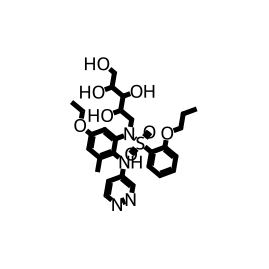 CCCOc1ccccc1S(=O)(=O)N(CC(O)C(O)C(O)CO)c1cc(OCC)cc(C)c1Nc1ccnnc1